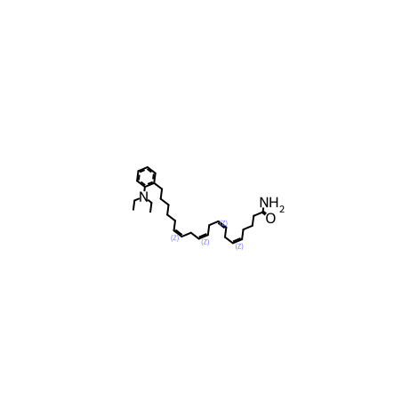 CCN(CC)c1ccccc1CCCCC/C=C\C/C=C\C/C=C\C/C=C\CCCC(N)=O